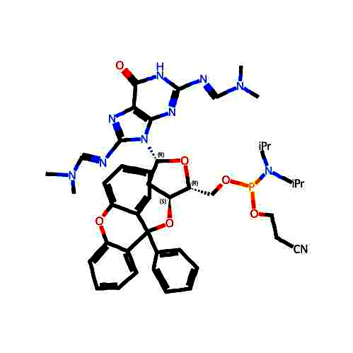 CC(C)N(C(C)C)P(OCCC#N)OC[C@H]1O[C@@H](n2c(N=CN(C)C)nc3c(=O)[nH]c(N=CN(C)C)nc32)C[C@@H]1OC1(c2ccccc2)c2ccccc2Oc2ccccc21